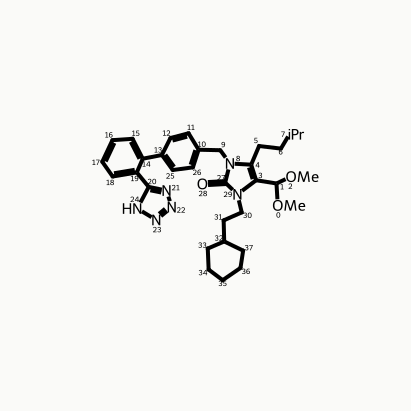 COC(OC)c1c(CCC(C)C)n(Cc2ccc(-c3ccccc3-c3nnn[nH]3)cc2)c(=O)n1CCC1CCCCC1